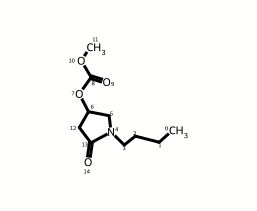 CCCCN1CC(OC(=O)OC)CC1=O